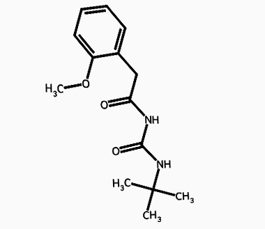 COc1ccccc1CC(=O)NC(=O)NC(C)(C)C